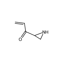 C=CC(=O)C1CN1